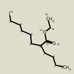 CCCCC(CCCCCI)C(=O)OCC